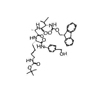 CC(C)[C@H](NC(=O)OCC1c2ccccc2-c2ccccc21)C(=O)N[C@@H](C)C(=O)N[C@@H](CCCCNC(=O)OC(C)(C)C)C(=O)Nc1ccc(CO)cc1